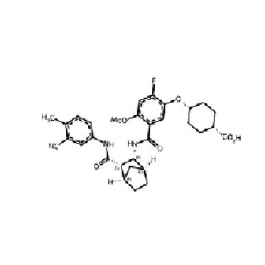 COc1cc(F)c(O[C@H]2CC[C@@H](C(=O)O)CC2)cc1C(=O)N[C@@H]1[C@H]2CC[C@H](C2)[C@@H]1C(=O)Nc1ccc(C)c(C#N)c1